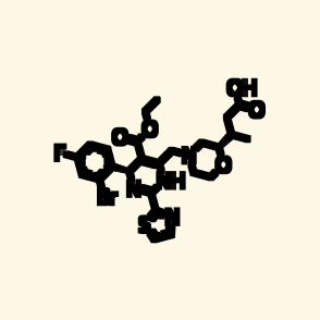 CCOC(=O)C1=C(CN2CCO[C@H](C(C)CC(=O)O)C2)NC(c2nccs2)=N[C@H]1c1ccc(F)cc1Br